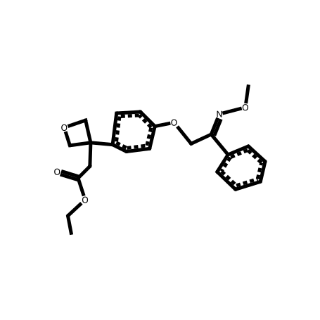 CCOC(=O)CC1(c2ccc(OCC(=NOC)c3ccccc3)cc2)COC1